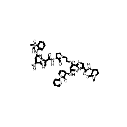 CNc1cc(Nc2ccccc2S(C)(=O)=O)nn2c(C(=O)N[C@@H]3CCN(CCNc4cc(Nc5cccn(-c6ccccn6)c5=O)nn5c(C(=O)N[C@@H]6CCN(C)C6=O)cnc45)C3=O)cnc12